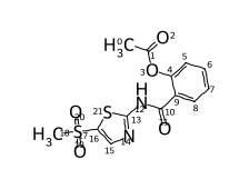 CC(=O)Oc1ccccc1C(=O)Nc1ncc(S(C)(=O)=O)s1